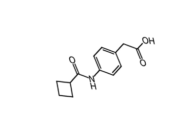 O=C(O)Cc1ccc(NC(=O)C2CCC2)cc1